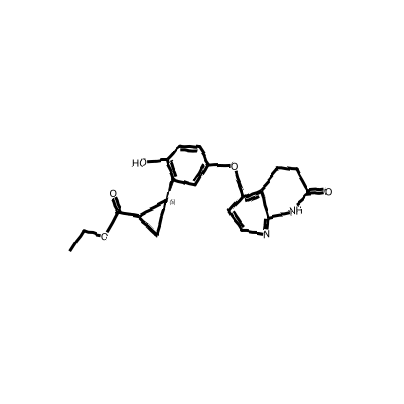 CCOC(=O)C1C[C@@H]1c1cc(Oc2ccnc3c2CCC(=O)N3)ccc1O